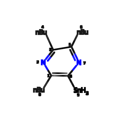 CCCCc1nc(CCCC)c(CCCC)n[c]1[SnH3]